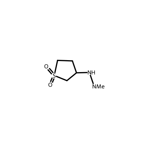 CNNC1CCS(=O)(=O)C1